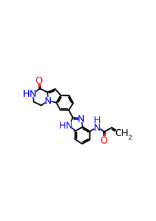 C=CC(=O)Nc1cccc2[nH]c(-c3ccc4cc5n(c4c3)CCNC5=O)nc12